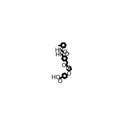 COc1cc(CC(=O)N2CC[C@H](Oc3ccc(C(=O)O)cc3)C2)ccc1NC(=O)Nc1ccccc1C